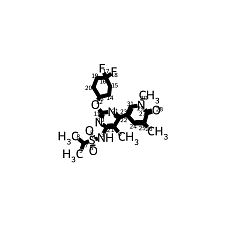 Cc1c(NS(=O)(=O)C(C)C)nc(OC2CCC(F)(F)CC2)nc1-c1cc(C)c(=O)n(C)c1